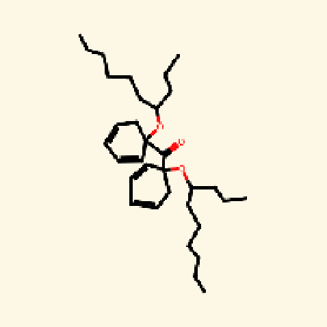 CCCCCCC(CCC)OC1(C(=O)C2(OC(CCC)CCCCCC)C=CC=CC2)C=CC=CC1